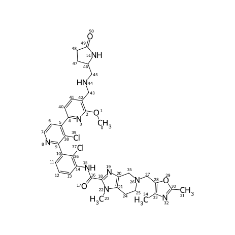 COc1nc(-c2ccnc(-c3cccc(NC(=O)c4nc5c(n4C)CCN(Cc4oc(C)nc4C)C5)c3Cl)c2Cl)ccc1CNCC1CCC(=O)N1